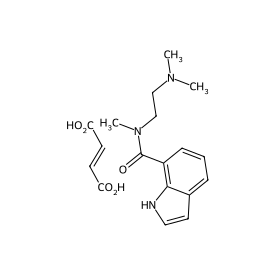 CN(C)CCN(C)C(=O)c1cccc2cc[nH]c12.O=C(O)/C=C/C(=O)O